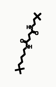 CC(C)(C)CCCCCNC(=O)CCC(=O)NCCC(C)(C)C